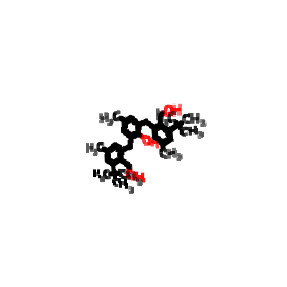 Cc1cc(Cc2cc(C)cc(C(C)(C)C)c2CO)c(O)c(Cc2cc(C)cc(C(C)(C)C)c2CO)c1